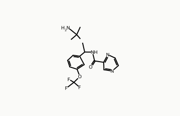 CC(C)(C)N.CC(NC(=O)c1cnccn1)c1cccc(OC(F)(F)F)c1